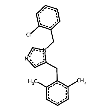 Cc1cccc(C)c1Cc1cncn1Cc1ccccc1Cl